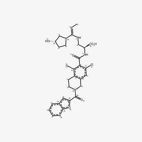 C/N=C(\NC[C@H](NC(=O)c1c(Cl)cc2c(c1Cl)CCN(C(=O)c1cc3cccnc3o1)C2)C(=O)O)N1CC[C@H](O)C1